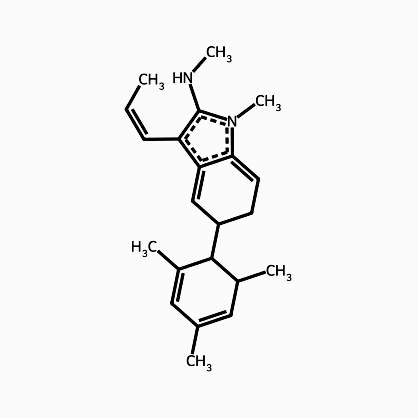 C/C=C\c1c(NC)n(C)c2c1=CC(C1C(C)=CC(C)=CC1C)CC=2